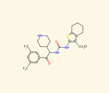 CCOC(=O)c1c(NC(=O)NC(C(=O)c2cc(C(F)(F)F)cc(C(F)(F)F)c2)C2CCNCC2)sc2c1CCCC2